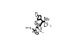 CC(C)c1nc2ccccc2n1CC(=O)N/C(N)=C(/C(=N)C(F)(F)F)c1ccc(Cl)cc1F